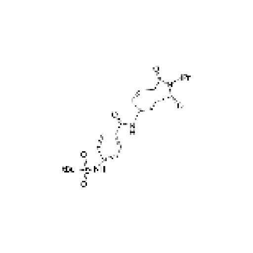 CC(C)N1C(=O)c2ccc(NC(=O)c3ccc(NS(=O)(=O)C(C)(C)C)cc3)cc2C1=O